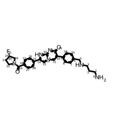 NCCCNCc1ccc(-c2cn3cc(-c4ccc(C(=O)N5CC[C@@H](F)C5)cc4)[nH]c3nc2=O)cc1